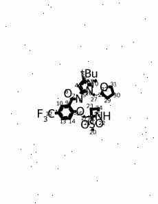 Cn1c(C(C)(C)C)c/c(=N\C(=O)c2cc(C(F)(F)F)ccc2OC[C@@]2(S(C)(=O)=O)CCN2)n1C[C@H]1CCCO1